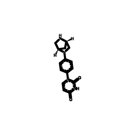 O=c1ccn(-c2ccc(N3C[C@H]4C[C@@H]3CN4)cc2)c(=O)[nH]1